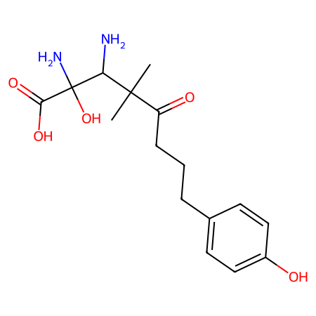 CC(C)(C(=O)CCCc1ccc(O)cc1)C(N)C(N)(O)C(=O)O